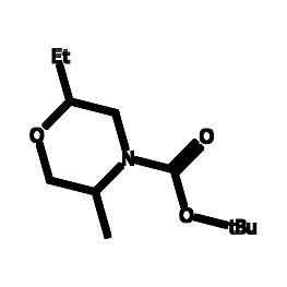 CCC1CN(C(=O)OC(C)(C)C)C(C)CO1